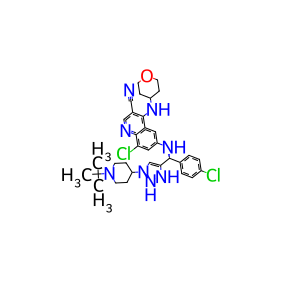 CC(C)(C)N1CCC(N2C=C([C@@H](Nc3cc(Cl)c4ncc(C#N)c(NC5CCOCC5)c4c3)c3ccc(Cl)cc3)NN2)CC1